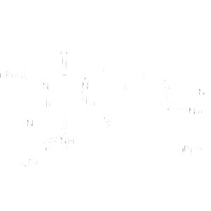 CCCCCn1c(=O)n(CCCc2cnn(CC(C)C)c2)c(=O)c2[nH]c(Cl)nc21